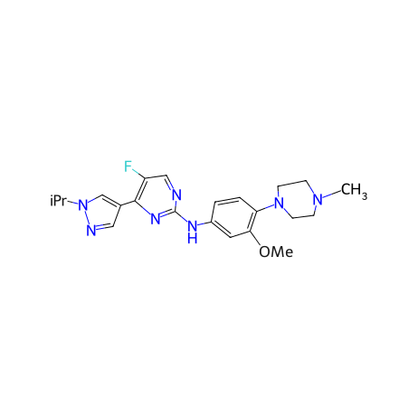 COc1cc(Nc2ncc(F)c(-c3cnn(C(C)C)c3)n2)ccc1N1CCN(C)CC1